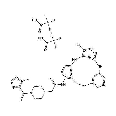 Cn1ccnc1C(=O)N1CCC(CC(=O)Nc2ccc3cc2CCc2cncc(c2)Nc2ncc(Cl)c(n2)N3)CC1.O=C(O)C(F)(F)F.O=C(O)C(F)(F)F